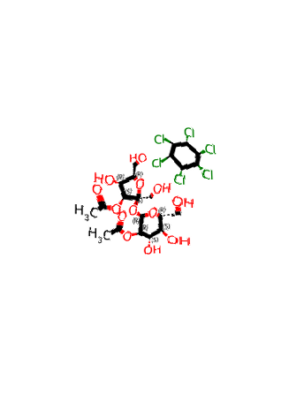 CC(=O)O[C@H]1[C@@H](O[C@]2(CO)O[C@H](CO)[C@@H](O)[C@@H]2OC(C)=O)O[C@H](CO)[C@@H](O)[C@@H]1O.Cl[C@H]1[C@H](Cl)[C@@H](Cl)[C@@H](Cl)[C@H](Cl)[C@H]1Cl